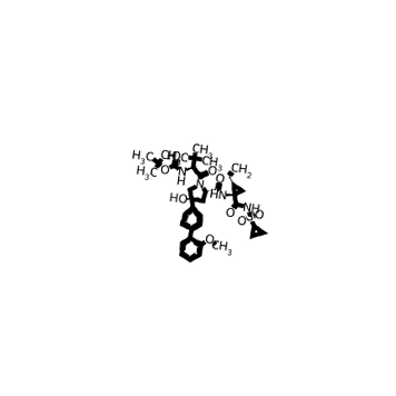 C=C[C@@H]1C[C@]1(NC(=O)[C@@H]1C[C@@](O)(c2ccc(-c3ccccc3OC)cc2)CN1C(=O)[C@@H](NC(=O)OC(C)(C)C)C(C)(C)C)C(=O)NS(=O)(=O)C1CC1